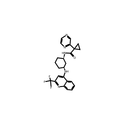 O=C(N[C@@H]1CCC[C@H](Nc2cc(C(F)(F)F)nc3ccccc23)C1)C1(c2cnccn2)CC1